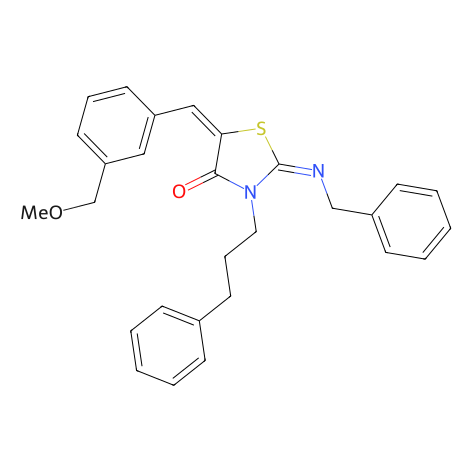 COCc1cccc(C=C2SC(=NCc3ccccc3)N(CCCc3ccccc3)C2=O)c1